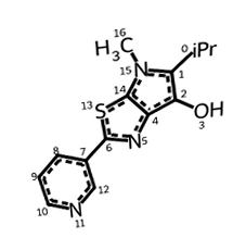 CC(C)c1c(O)c2nc(-c3cccnc3)sc2n1C